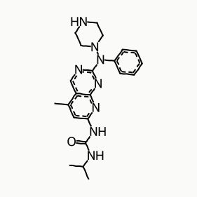 Cc1cc(NC(=O)NC(C)C)nc2nc(N(c3ccccc3)N3CCNCC3)ncc12